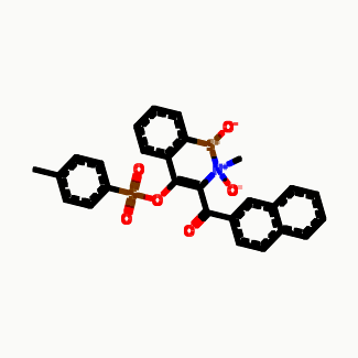 Cc1ccc(S(=O)(=O)OC2=C(C(=O)c3ccc4ccccc4c3)[N+](C)([O-])[S+]([O-])c3ccccc32)cc1